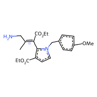 CCOC(=O)/C(=C(/C)CN)c1c(C(=O)OCC)ccn1Cc1ccc(OC)cc1